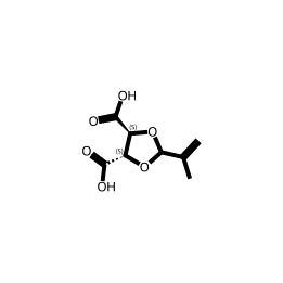 C=C(C)C1O[C@H](C(=O)O)[C@@H](C(=O)O)O1